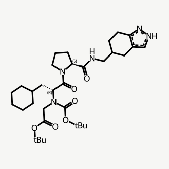 CC(C)(C)OC(=O)CN(C(=O)OC(C)(C)C)[C@H](CC1CCCCC1)C(=O)N1CCC[C@H]1C(=O)NCC1CCc2n[nH]cc2C1